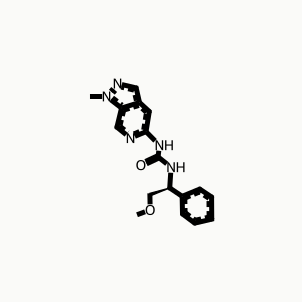 COC[C@@H](NC(=O)Nc1cc2cnn(C)c2cn1)c1ccccc1